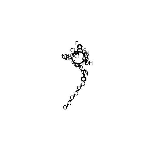 COCCOCCOCCOCCOCCOC1CCC(c2nccc(COc3ccc4cc3C[C@H](C(=O)O)Oc3ncnc5sc(-c6ccc(F)cc6)c(c35)-c3c(C)c(Cl)c(c(Cl)c3C)O[C@H](CN3CCN(C)CC3)CO4)n2)CC1